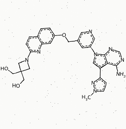 Cn1ccc(-c2cn(-c3cncc(COc4ccc5ccc(N6CC(CO)(CO)C6)nc5c4)c3)c3ncnc(N)c23)n1